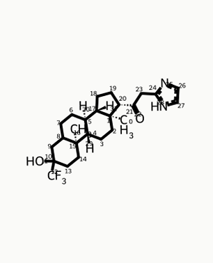 C[C@]12CC[C@H]3[C@@H](CCC4CC(O)(C(F)(F)F)CC[C@@]43C)[C@@H]1CC[C@@H]2C(=O)Cc1ncc[nH]1